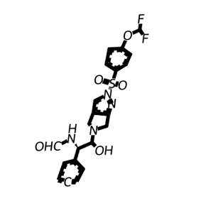 O=CN[C@@H](c1ccccc1)C(O)N1Cc2cn(S(=O)(=O)c3ccc(OC(F)F)cc3)nc2C1